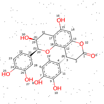 O=C1C[C@H](c2ccc(O)c(O)c2)c2c(cc(O)c3c2O[C@@H](c2ccc(O)c(O)c2)[C@@H](O)C3)O1